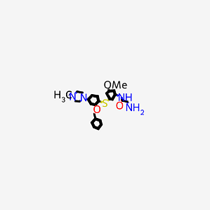 COc1cc(NC(=O)CN)cc(Sc2ccc(N3CCN(C)CC3)cc2OCc2ccccc2)c1